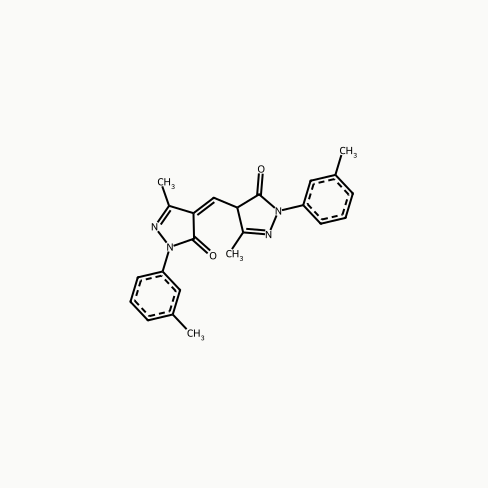 CC1=NN(c2cccc(C)c2)C(=O)/C1=C\C1C(=O)N(c2cccc(C)c2)N=C1C